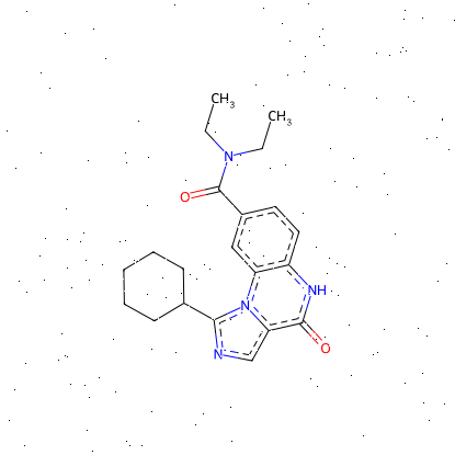 CCN(CC)C(=O)c1ccc2[nH]c(=O)c3cnc(C4CCCCC4)n3c2c1